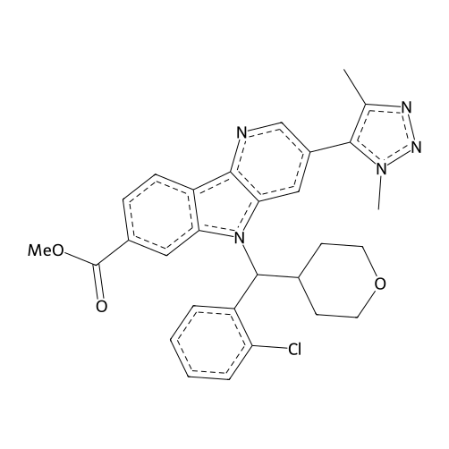 COC(=O)c1ccc2c3ncc(-c4c(C)nnn4C)cc3n(C(c3ccccc3Cl)C3CCOCC3)c2c1